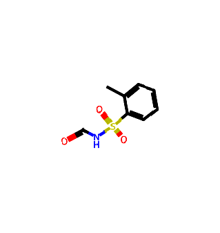 Cc1ccccc1S(=O)(=O)N[C]=O